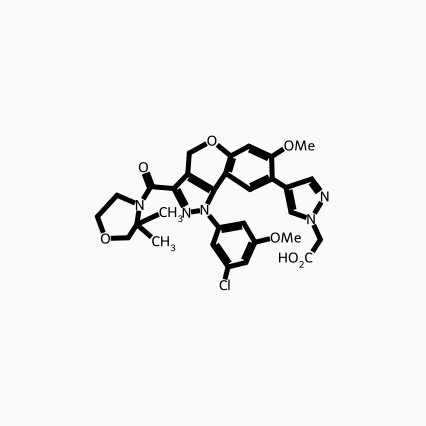 COc1cc(Cl)cc(-n2nc(C(=O)N3CCOCC3(C)C)c3c2-c2cc(-c4cnn(CC(=O)O)c4)c(OC)cc2OC3)c1